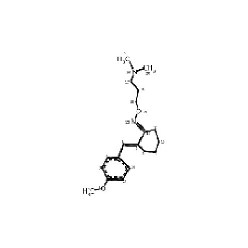 COc1ccc(C=C2CCCCC2=NOCCCN(C)C)cc1